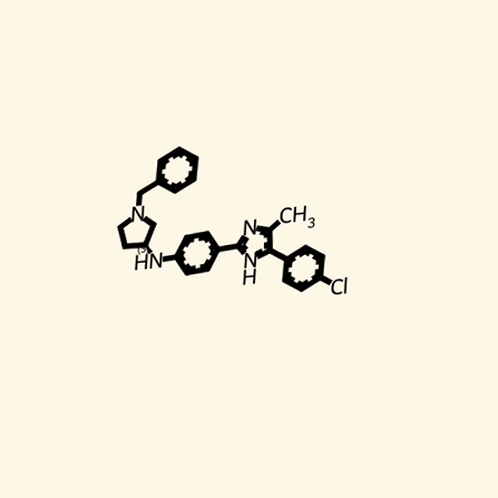 Cc1nc(-c2ccc(N[C@H]3CCN(Cc4ccccc4)C3)cc2)[nH]c1-c1ccc(Cl)cc1